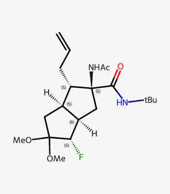 C=CC[C@H]1[C@@H]2CC(OC)(OC)[C@@H](F)[C@@H]2C[C@@]1(NC(C)=O)C(=O)NC(C)(C)C